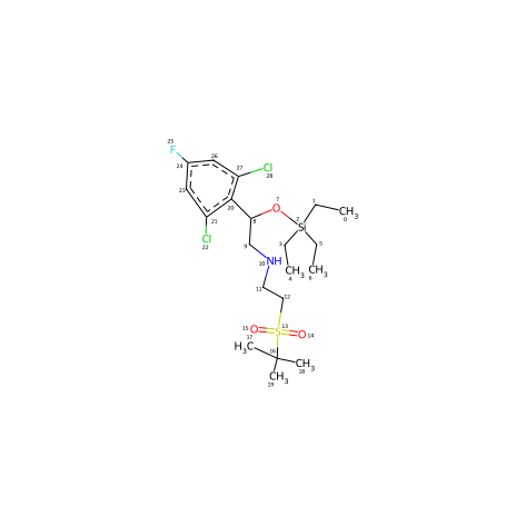 CC[Si](CC)(CC)OC(CNCCS(=O)(=O)C(C)(C)C)c1c(Cl)cc(F)cc1Cl